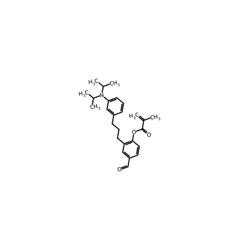 C=C(C)C(=O)Oc1ccc(C=O)cc1CCCc1cccc(N(C(C)C)C(C)C)c1